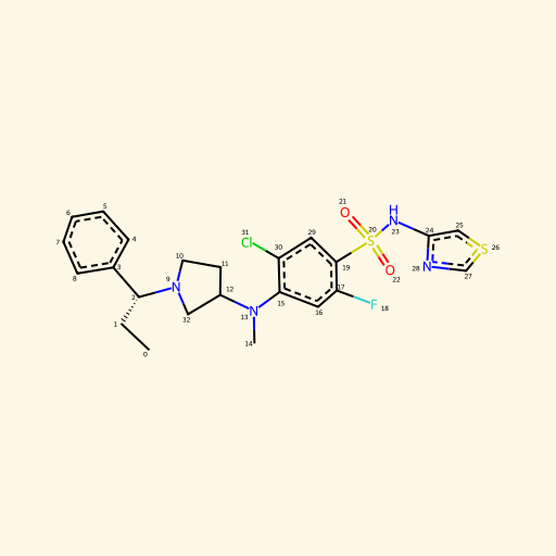 CC[C@H](c1ccccc1)N1CCC(N(C)c2cc(F)c(S(=O)(=O)Nc3cscn3)cc2Cl)C1